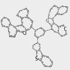 c1ccc2c(c1)ccc1oc3c(-c4cc(-c5ccc6sc7ccccc7c6c5)cc(-c5cc6ccccc6c6c5oc5ccc7ccccc7c56)c4)cc4ccccc4c3c12